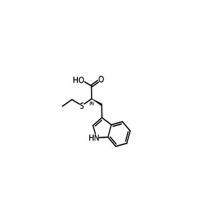 CCS[C@H](Cc1c[nH]c2ccccc12)C(=O)O